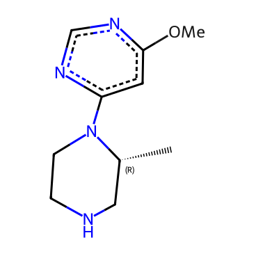 COc1cc(N2CCNC[C@H]2C)ncn1